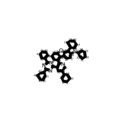 c1ccc(-c2cnc(-c3cccc4oc5c(ccc6c5c5ccccc5n6-c5ccccc5)c34)c(-c3nc(-c4ccccc4)nc(-c4ccccc4)n3)c2)cc1